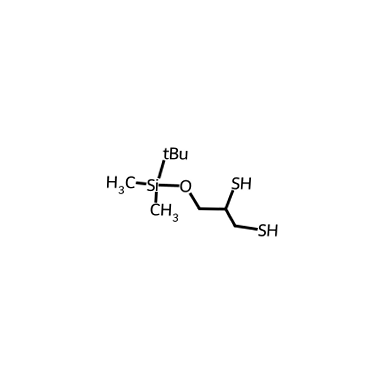 CC(C)(C)[Si](C)(C)OCC(S)CS